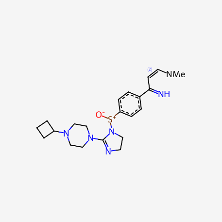 CN/C=C\C(=N)c1ccc([S+]([O-])N2CCN=C2N2CCN(C3CCC3)CC2)cc1